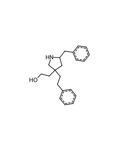 OCCC1(CCc2ccccc2)CNC(Cc2ccccc2)C1